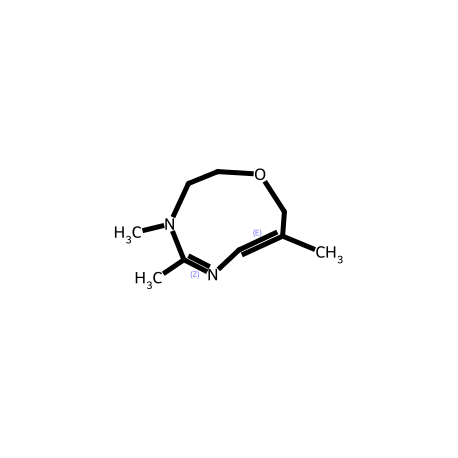 C/C1=N/C=C(\C)COCCN1C